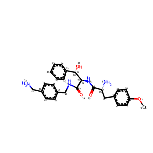 CCOc1ccc(C[C@@H](N)C(=O)N[C@@H](C(=O)NCc2ccc(CN)cc2)[C@@H](O)c2ccccc2)cc1